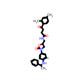 Cc1ccc(C(=O)CCC(=O)NCC2CN(c3ccc(NC(C)c4ccccc4)c(F)c3)C(=O)O2)c(C)c1